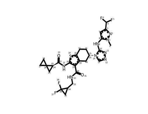 Cn1nc(C(F)F)cc1Nc1nncn1[C@H]1CCc2sc(NC(=O)[C@H]3CC34CC4)c(C(=O)NCC3CC3(F)F)c2C1